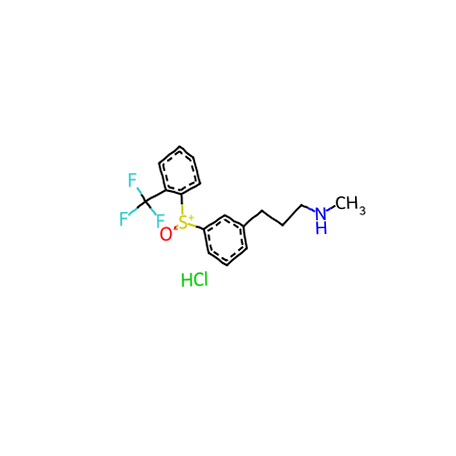 CNCCCc1cccc([S+]([O-])c2ccccc2C(F)(F)F)c1.Cl